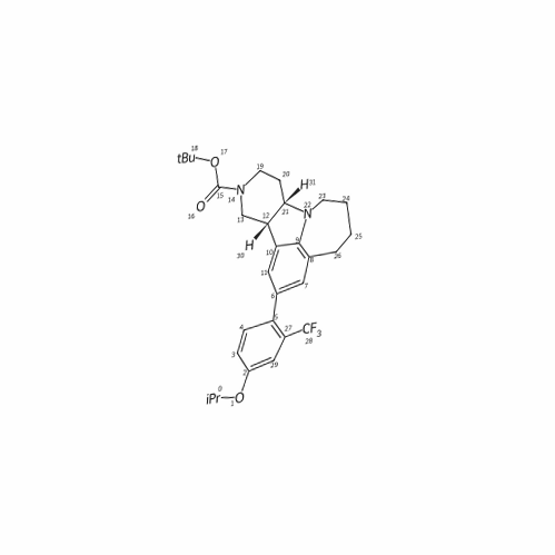 CC(C)Oc1ccc(-c2cc3c4c(c2)[C@@H]2CN(C(=O)OC(C)(C)C)CC[C@@H]2N4CCCC3)c(C(F)(F)F)c1